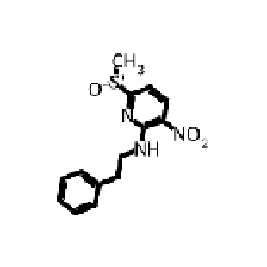 C[S+]([O-])c1ccc([N+](=O)[O-])c(NCCc2ccccc2)n1